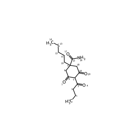 CCCC(=O)C1C(=O)CC(CCCSC)(C(N)=O)CC1=O